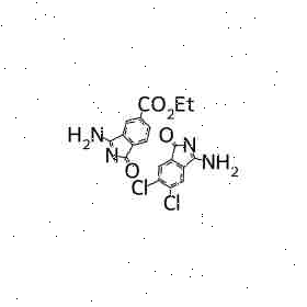 CCOC(=O)c1ccc2c(c1)C(N)=NC2=O.NC1=NC(=O)c2cc(Cl)c(Cl)cc21